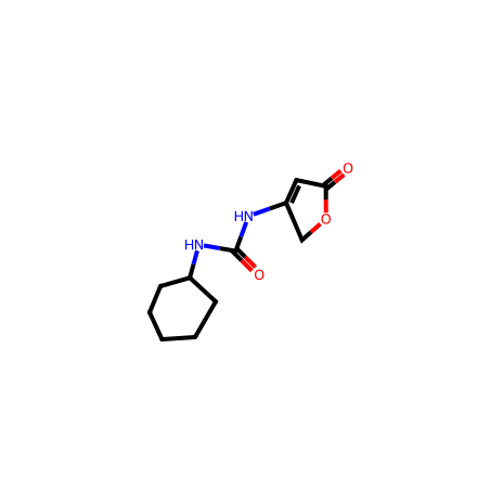 O=C(NC1=CC(=O)OC1)NC1CCCCC1